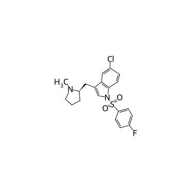 CN1CCC[C@@H]1Cc1cn(S(=O)(=O)c2ccc(F)cc2)c2ccc(Cl)cc12